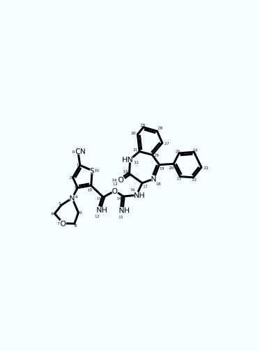 N#Cc1cc(N2CCOCC2)c(C(=N)OC(=N)NC2N=C(c3ccccc3)c3ccccc3NC2=O)s1